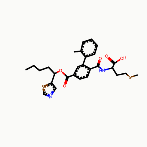 CCCCC(OC(=O)c1ccc(C(=O)NC(CCSC)C(=O)O)c(-c2ccccc2C)c1)c1cncs1